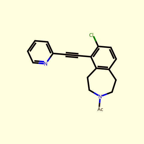 CC(=O)N1CCc2ccc(Cl)c(C#Cc3ccccn3)c2CC1